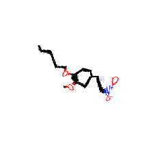 CCCCCOc1ccc(/C=C/[N+](=O)[O-])cc1OC